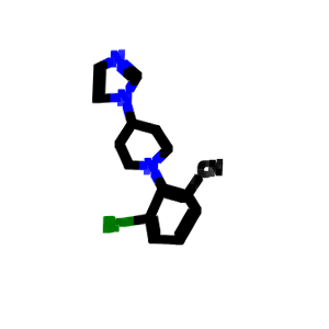 N#Cc1cccc(Br)c1N1CCC(n2ccnc2)CC1